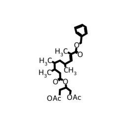 CC(=O)OCC(COC(C)=O)OC(=O)CC(C)C(C)CC(C)/C=C(\C)C(=O)OCc1ccccc1